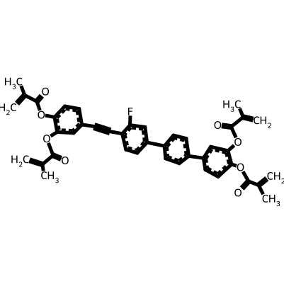 C=C(C)C(=O)Oc1ccc(C#Cc2ccc(-c3ccc(-c4ccc(OC(=O)C(=C)C)c(OC(=O)C(=C)C)c4)cc3)cc2F)cc1OC(=O)C(=C)C